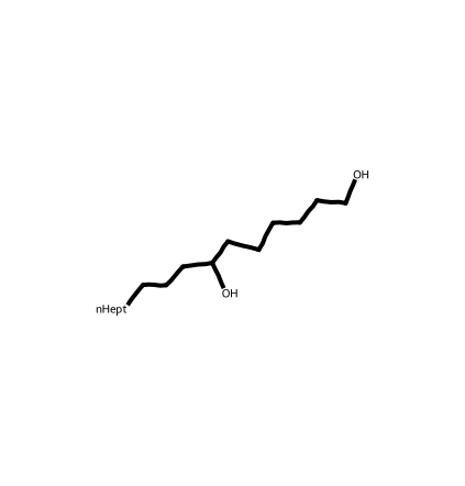 CCCCCCCCCCC(O)CCCCCCO